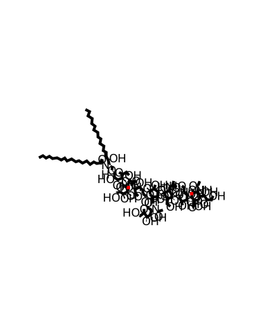 CCCCCCCCCCCCC/C=C/[C@@H](O)[C@H](CO[C@@H]1OC(CO)[C@@H](O[C@@H]2OC(CO)[C@H](O)[C@H](O[C@@H]3OC(CO)[C@@H](O[C@@H]4OC(CO[C@@H]5OC(CO)[C@@H](O)[C@H](O)C5NC(C)=O)[C@H](O)[C@H](O[C@@H]5OC(CO)[C@@H](O[C@@H]6OC(CO)[C@H](O)[C@H](O[C@]7(C(=O)O)CC(O)[C@@H](NC(C)=O)C([C@H](O)[C@H](O)CO)O7)C6O)[C@H](O)C5NC(C)=O)C4O)[C@H](O)C3NC(C)=O)C2O)[C@H](O)C1O)NC(=O)CCCCCCCCCCCCCCCCC